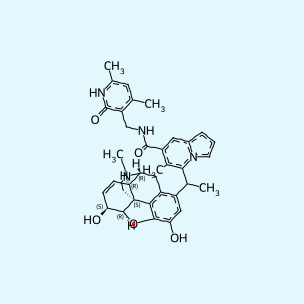 Cc1cc(C)c(CNC(=O)c2cc3cccn3c(C(C)c3cc(O)c4c5c3C[C@@H]3[C@@H]6C=C[C@H](O)[C@H](O4)[C@]56CCN3C)c2C)c(=O)[nH]1